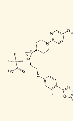 Cc1nnc(-c2ccc(OCC[C@H]3C[C@H]3C3CCN(c4ccc(C(F)(F)F)cn4)CC3)cc2F)o1.O=C(O)C(F)(F)F